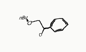 CCCCOCC(Cl)c1ccccc1